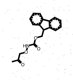 CC(=O)CONC(=O)OCC1c2ccccc2-c2ccccc21